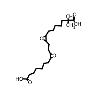 CC(C)(CCCCCC1OC1CCC1OC1CCCCCCC(=O)O)C(=O)O